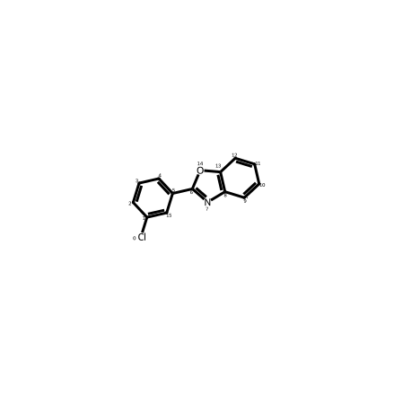 Clc1cccc(-c2nc3[c]cccc3o2)c1